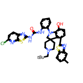 Cc1ccc2sc(-c3ccc(O)c4c3C3(CCN(CC(C)(C)C)CC3)CN4c3ccccc3NC(=O)Nc3nc4ccc(Cl)nc4s3)nc2c1